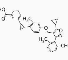 Cc1cc(OCc2c(-c3c(C)cccc3C)noc2C2CC2)ccc1C1CC1c1cccc(C(=O)O)c1